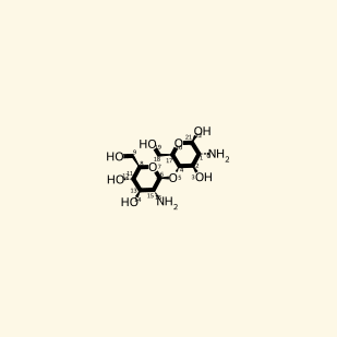 N[C@@H]1[C@@H](O)[C@H](O[C@@H]2O[C@H](CO)[C@@H](O)[C@H](O)[C@H]2N)[C@@H](CO)O[C@H]1O